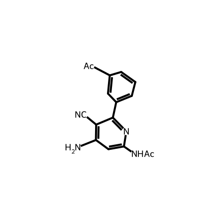 CC(=O)Nc1cc(N)c(C#N)c(-c2cccc(C(C)=O)c2)n1